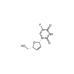 O=c1[nH]c(=O)n([C@@H]2C=C[C@H](CO)O2)cc1F